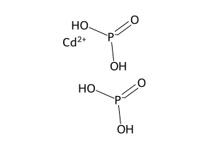 O=[P-](O)O.O=[P-](O)O.[Cd+2]